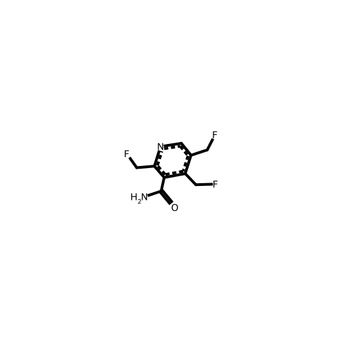 NC(=O)c1c(CF)ncc(CF)c1CF